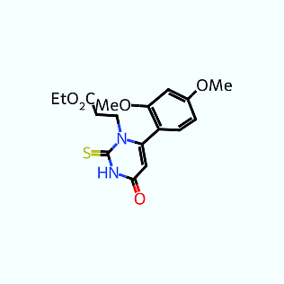 CCOC(=O)CCn1c(-c2ccc(OC)cc2OC)cc(=O)[nH]c1=S